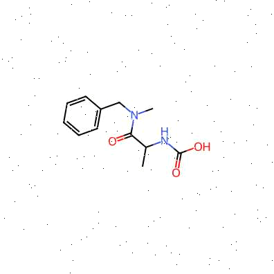 CC(NC(=O)O)C(=O)N(C)Cc1ccccc1